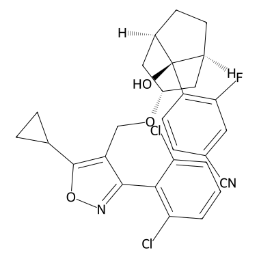 N#Cc1ccc([C@]2(O)[C@@H]3CC[C@H]2C[C@H](OCc2c(-c4c(Cl)cccc4Cl)noc2C2CC2)C3)c(F)c1